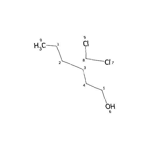 CCCCCCO.ClCCl